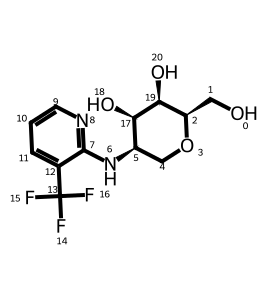 OC[C@H]1OC[C@@H](Nc2ncccc2C(F)(F)F)[C@@H](O)[C@H]1O